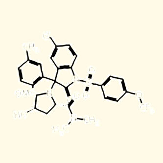 COc1ccc(C)cc1C1(N2C[C@H](O)C[C@H]2C(=O)N(C)C)C(=O)N(S(=O)(=O)c2ccc(OC(F)(F)F)cc2)c2ccc(Cl)cc21